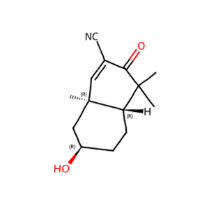 CC1(C)C(=O)C(C#N)=C[C@]2(C)C[C@H](O)CC[C@@H]12